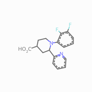 O=C(O)C1CCN(c2cccc(F)c2F)C(c2ccccn2)C1